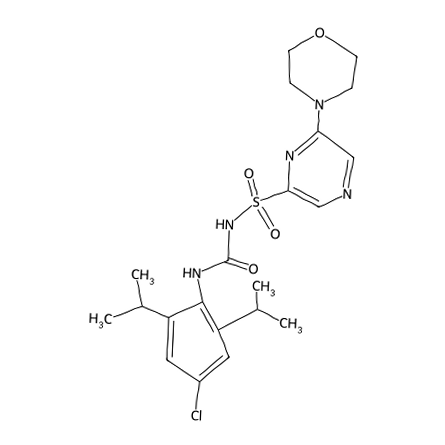 CC(C)c1cc(Cl)cc(C(C)C)c1NC(=O)NS(=O)(=O)c1cncc(N2CCOCC2)n1